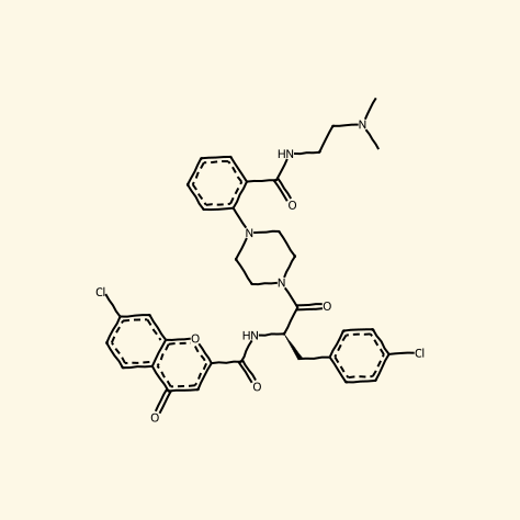 CN(C)CCNC(=O)c1ccccc1N1CCN(C(=O)[C@@H](Cc2ccc(Cl)cc2)NC(=O)c2cc(=O)c3ccc(Cl)cc3o2)CC1